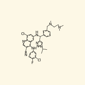 CC(C)n1cc(C(Nc2cc(Cl)c3ncc(C#N)c(Nc4ccc(F)c(Cl)c4)c3c2)c2cccc(CN(C)CCN(C)C)c2)nn1